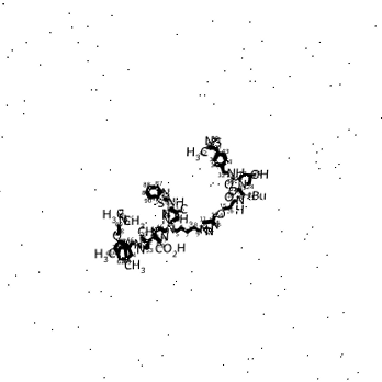 Cc1cc(N(CCCCCn2cc(COCCC(=O)N[C@H](C(=O)N3C[C@H](O)C[C@H]3C(=O)NCc3ccc(-c4scnc4C)cc3)C(C)(C)C)nn2)c2ccc(-c3cnn(CC45CC6(C)CC(C)(C4)CC(OCCN(C)C)(C6)C5)c3C)c(C(=O)O)n2)nnc1Nc1nc2ccccc2s1